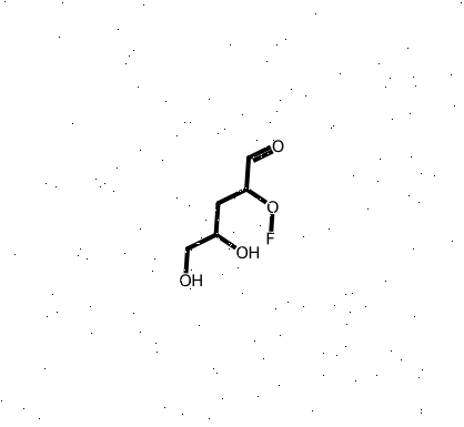 O=CC(CC(O)CO)OF